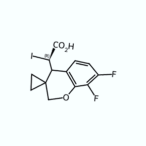 O=C(O)[C@H](I)C1c2ccc(F)c(F)c2OCC12CC2